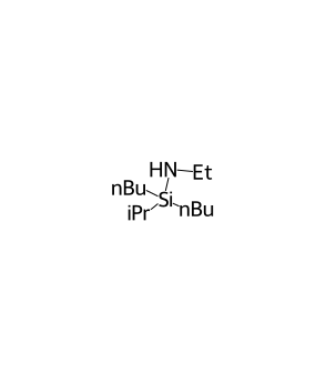 CCCC[Si](CCCC)(NCC)C(C)C